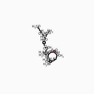 COc1cc2cc(c1Cl)N(C)C(=O)C[C@H](OC(=O)[C@H](C)N(C)C(=O)CCN(C)C(=O)OCc1ccc(NC(=O)[C@H](CCCNC(N)=O)NC(=O)CNC(=O)CCCCC(C)=O)cc1)[C@]1(C)O[C@H]1[C@H](C)[C@@H]1CC(NC(=O)O1)[C@H](OC)/C=C/C=C(\C)C2